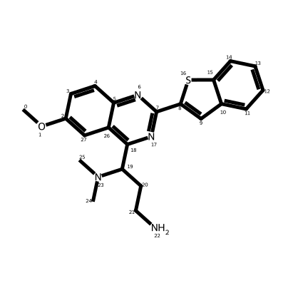 COc1ccc2nc(-c3cc4ccccc4s3)nc(C(CCN)N(C)C)c2c1